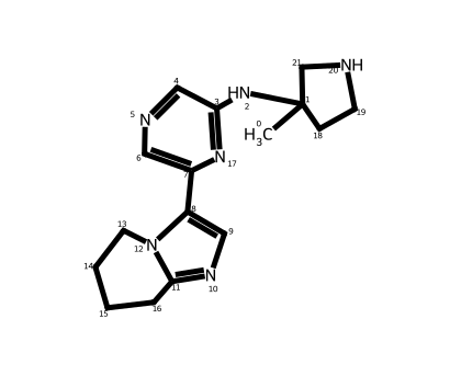 CC1(Nc2cncc(-c3cnc4n3CCCC4)n2)CCNC1